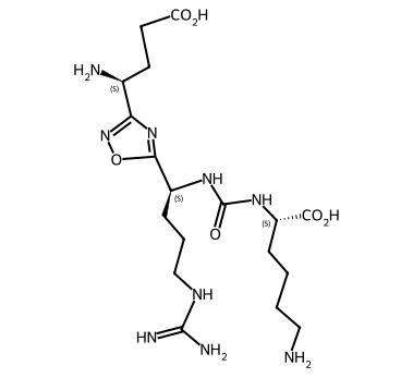 N=C(N)NCCC[C@H](NC(=O)N[C@@H](CCCCN)C(=O)O)c1nc([C@@H](N)CCC(=O)O)no1